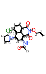 C=CCON1C(=O)c2ccc(Cl)c3c(N4CCCC4)cc(NC(C)=O)c(c23)C1=O